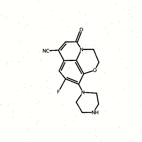 N#Cc1cc(=O)n2c3c(c(N4CCNCC4)c(F)cc13)OCC2